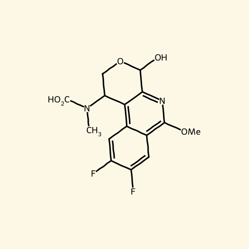 COc1nc2c(c3cc(F)c(F)cc13)C(N(C)C(=O)O)COC2O